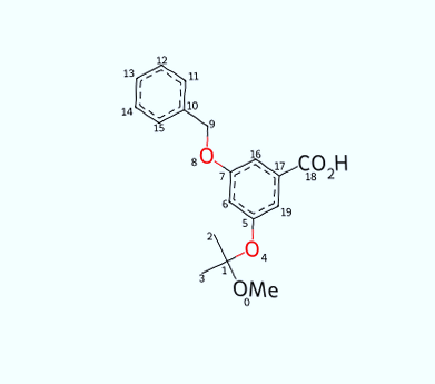 COC(C)(C)Oc1cc(OCc2ccccc2)cc(C(=O)O)c1